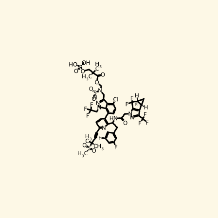 CC(C)(COP(=O)(O)O)C(=O)OCN(Cc1nn(CC(F)(F)F)c2c(-c3ccc(C#CC(C)(C)S(C)(=O)=O)nc3C(Cc3cc(F)cc(F)c3)NC(=O)Cn3nc(C(F)(F)F)c4c3C(F)(F)[C@@H]3C[C@H]43)ccc(Cl)c12)[SH](=O)=O